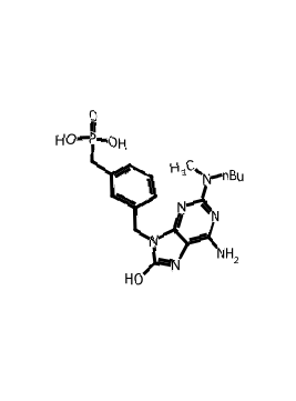 CCCCN(C)c1nc(N)c2nc(O)n(Cc3cccc(CP(=O)(O)O)c3)c2n1